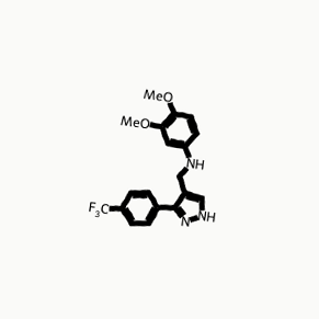 COc1ccc(NCc2c[nH]nc2-c2ccc(C(F)(F)F)cc2)cc1OC